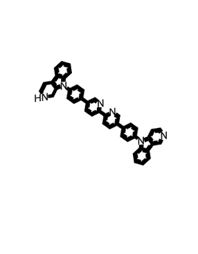 C1=Cc2c(n(-c3ccc(-c4ccc(-c5ccc(-c6ccc(-n7c8ccccc8c8cnccc87)cc6)cn5)nc4)cc3)c3ccccc23)CN1